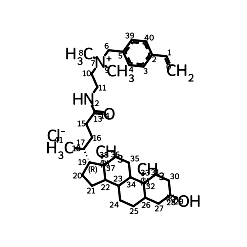 C=Cc1ccc(C[N+](C)(C)CCNC(=O)CCC(C)[C@H]2CCC3C4CCC5C[C@H](O)CC[C@]5(C)C4CC[C@@]32C)cc1.[Cl-]